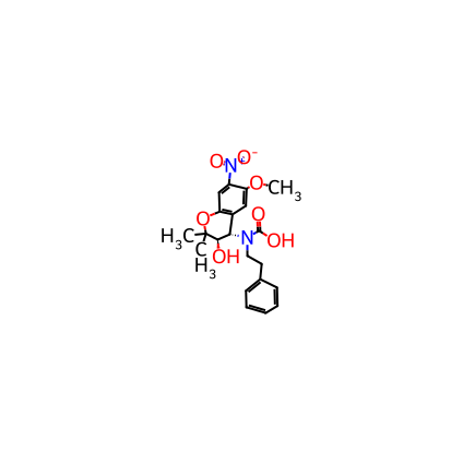 COc1cc2c(cc1[N+](=O)[O-])OC(C)(C)[C@H](O)[C@H]2N(CCc1ccccc1)C(=O)O